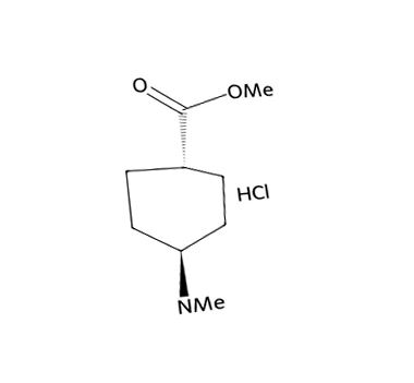 CN[C@H]1CC[C@H](C(=O)OC)CC1.Cl